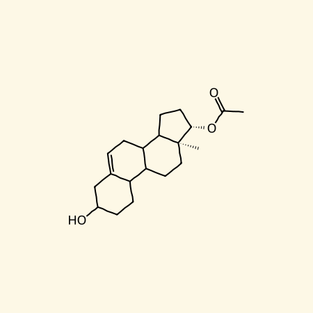 CC(=O)O[C@H]1CCC2C3CC=C4CC(O)CCC4C3CC[C@@]21C